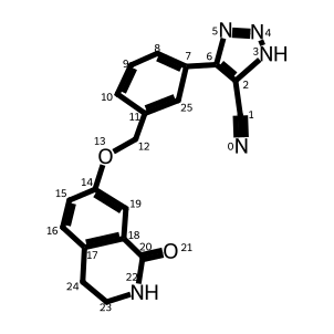 N#Cc1[nH]nnc1-c1cccc(COc2ccc3c(c2)C(=O)NCC3)c1